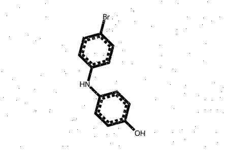 Oc1ccc(Nc2ccc(Br)cc2)cc1